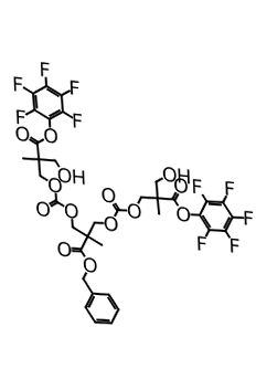 CC(COC(=O)OCC(C)(CO)C(=O)Oc1c(F)c(F)c(F)c(F)c1F)(COC(=O)OCC(C)(CO)C(=O)Oc1c(F)c(F)c(F)c(F)c1F)C(=O)OCc1ccccc1